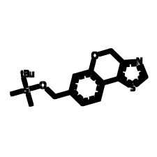 CC(C)(C)[Si](C)(C)OCc1ccc2c(c1)OCc1ncsc1-2